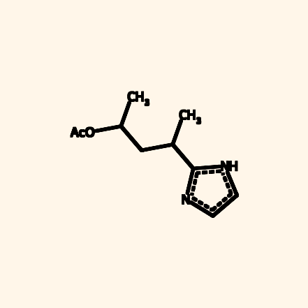 CC(=O)OC(C)CC(C)c1ncc[nH]1